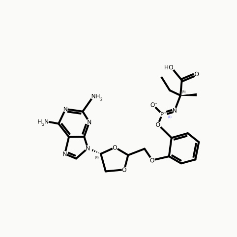 CC[C@@](C)(/N=[P+](\[O-])Oc1ccccc1OCC1OC[C@H](n2cnc3c(N)nc(N)nc32)O1)C(=O)O